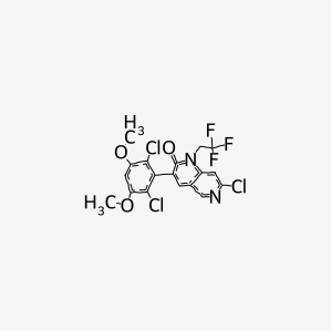 COc1cc(OC)c(Cl)c(-c2cc3cnc(Cl)cc3n(CC(F)(F)F)c2=O)c1Cl